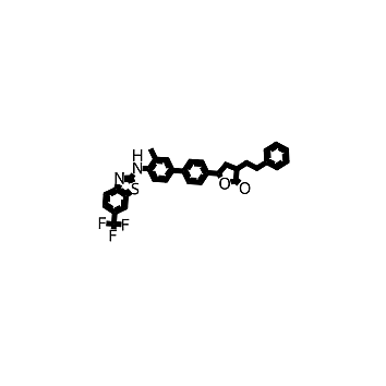 Cc1cc(-c2ccc(C3CC(CCc4ccccc4)C(=O)O3)cc2)ccc1Nc1nc2ccc(C(F)(F)F)cc2s1